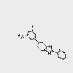 Cc1cc(F)cc(C2CCn3nc(-c4ccccn4)nc3C2)c1